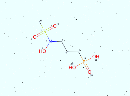 CS(=O)(=O)N(O)CCCP(=O)(O)O